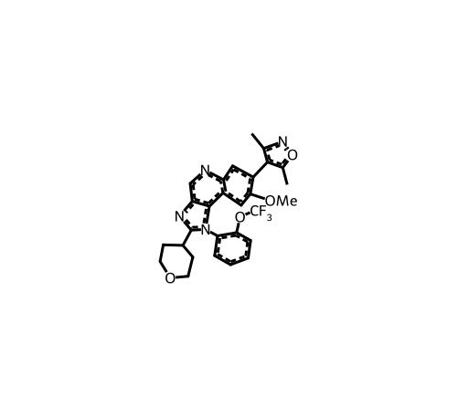 COc1cc2c(cc1-c1c(C)noc1C)ncc1nc(C3CCOCC3)n(-c3ccccc3OC(F)(F)F)c12